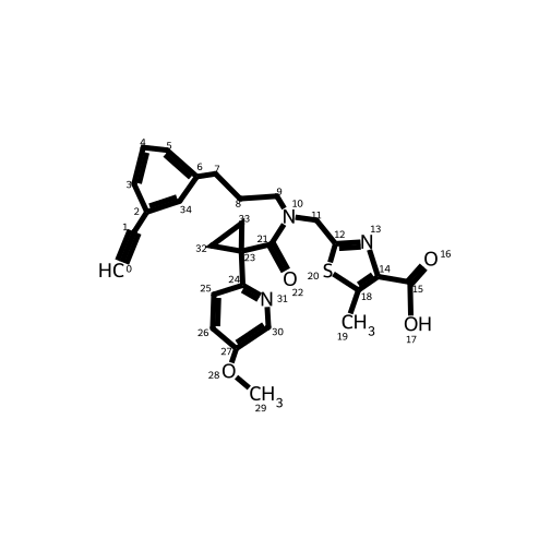 C#Cc1cccc(CCCN(Cc2nc(C(=O)O)c(C)s2)C(=O)C2(c3ccc(OC)cn3)CC2)c1